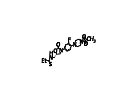 CCC(=S)NC[C@H]1CN(c2ccc(N3CCN(S(C)(=O)=O)CC3)c(F)c2)C(=O)O1